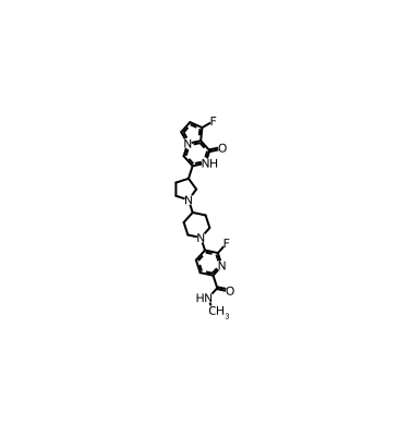 CNC(=O)c1ccc(N2CCC(N3CCC(c4cn5ccc(F)c5c(=O)[nH]4)C3)CC2)c(F)n1